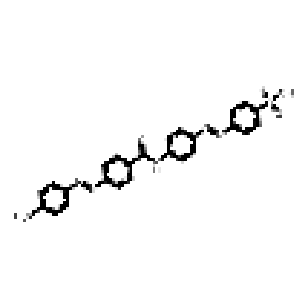 Nc1ccc(N=Nc2ccc(C(=O)Nc3ccc(N=Nc4ccc(S(=O)(=O)O)cc4)cc3)cc2)cc1